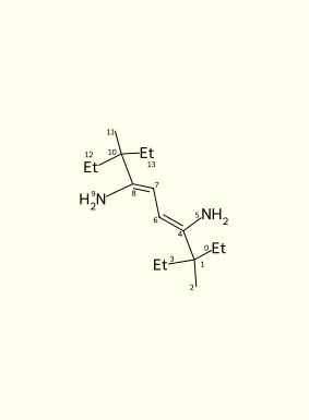 CCC(C)(CC)/C(N)=C/C=C(\N)C(C)(CC)CC